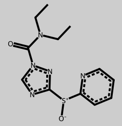 CCN(CC)C(=O)n1cnc([S+]([O-])c2ccccn2)n1